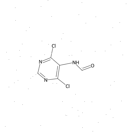 O=CNc1c(Cl)ncnc1Cl